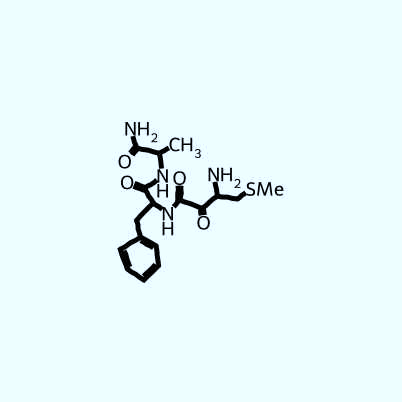 CSCC(N)C(=O)C(=O)NC(Cc1ccccc1)C(=O)NC(C)C(N)=O